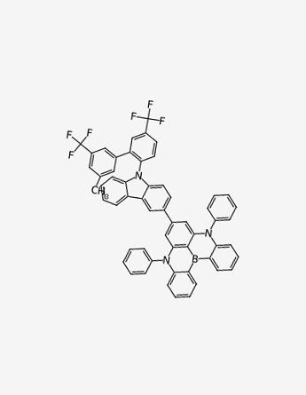 Cc1cc(-c2cc(C(F)(F)F)ccc2-n2c3ccccc3c3cc(-c4cc5c6c(c4)N(c4ccccc4)c4ccccc4B6c4ccccc4N5c4ccccc4)ccc32)cc(C(F)(F)F)c1